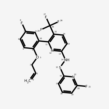 C=CCOc1ccc(F)cc1-c1nc(NSc2cccc(F)n2)ccc1C(F)(F)F